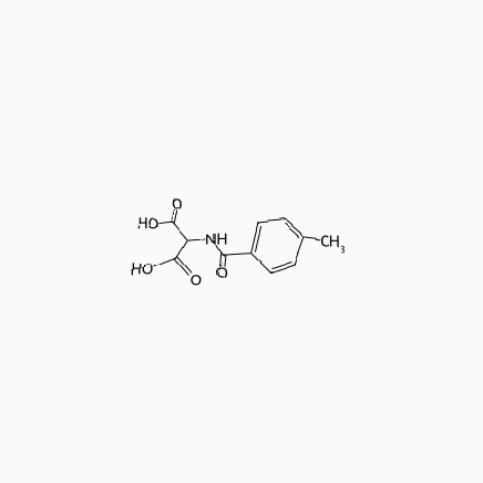 Cc1ccc(C(=O)NC(C(=O)O)C(=O)O)cc1